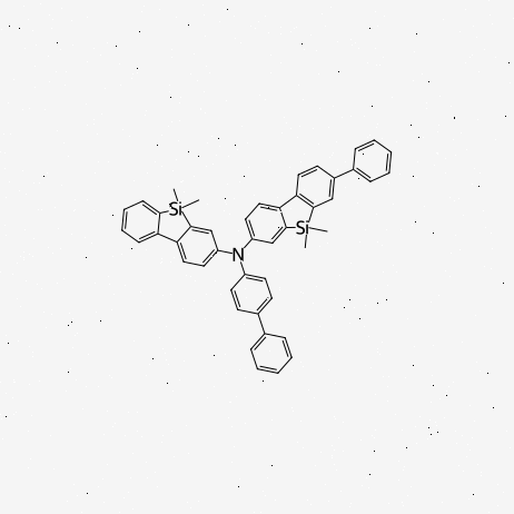 C[Si]1(C)c2ccccc2-c2ccc(N(c3ccc(-c4ccccc4)cc3)c3ccc4c(c3)[Si](C)(C)c3cc(-c5ccccc5)ccc3-4)cc21